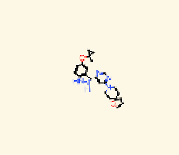 CC1(Oc2ccc3c(c2)[C@H](c2cc(N4CCC5(CCCO5)CC4)ncn2)NN3)CC1